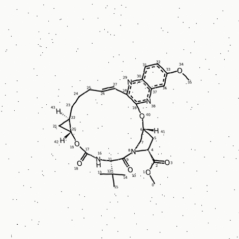 COC(=O)[C@@H]1C[C@@H]2CN1C(=O)[C@H](C(C)(C)C)NC(=O)O[C@@H]1C[C@H]1CCC/C=C/c1nc3ccc(OC)cc3nc1O2